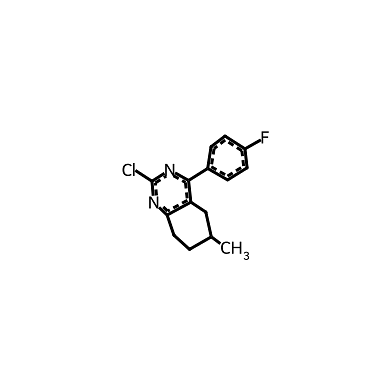 CC1CCc2nc(Cl)nc(-c3ccc(F)cc3)c2C1